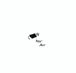 [Au].[C-]#N.[Na+]